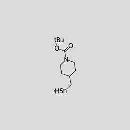 CC(C)(C)OC(=O)N1CCC([CH2][SnH])CC1